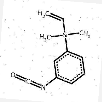 C=C[Si](C)(C)c1cccc(N=C=O)c1